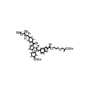 COC(C)COCCCOC(=O)c1cc2cc(NC(=O)[C@H]3[C@H](C4CCC(OC)CC4)CCN3C(=O)C3CCC([C@@H](CF)NC(=O)OC(C)(C)C)CC3)ccc2o1